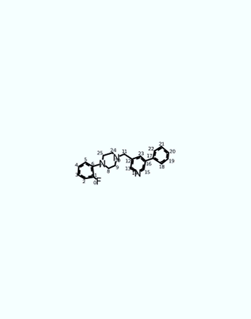 Fc1ccccc1N1CCN(Cc2cncc(-c3ccccc3)c2)CC1